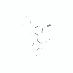 N#Cc1cc(-c2cnc(N)nc2C(F)(F)F)nc(N2CCOCC2)n1